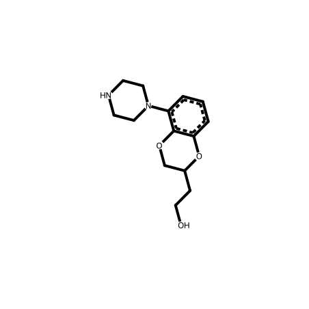 OCCC1COc2c(cccc2N2CCNCC2)O1